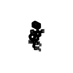 C=C(Cc1cc(Cl)c(C2C3CC4CC(C3)CC2C4)c(Cl)c1)C1(NCCC)CCCCC1